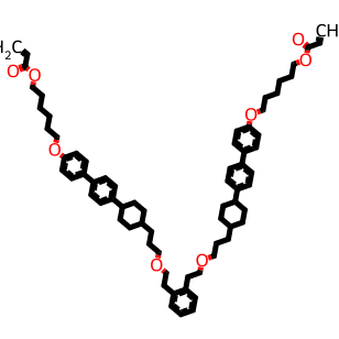 C=CC(=O)OCCCCCCOc1ccc(-c2ccc(C3CCC(CCCOCCc4ccccc4CCOCCCC4CCC(c5ccc(-c6ccc(OCCCCCCOC(=O)C=C)cc6)cc5)CC4)CC3)cc2)cc1